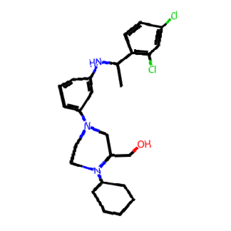 CC(Nc1cccc(N2CCN(C3CCCCC3)C(CO)C2)c1)c1ccc(Cl)cc1Cl